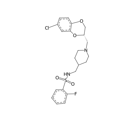 O=S(=O)(NCC1CCN(C[C@H]2COc3ccc(Cl)cc3O2)CC1)c1ccccc1F